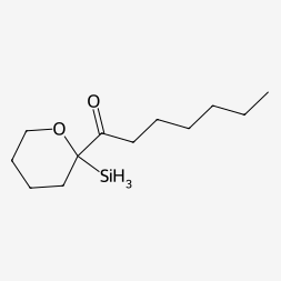 CCCCCCC(=O)C1([SiH3])CCCCO1